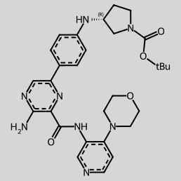 CC(C)(C)OC(=O)N1CC[C@@H](Nc2ccc(-c3cnc(N)c(C(=O)Nc4cnccc4N4CCOCC4)n3)cc2)C1